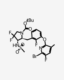 Cc1cc(F)c(Br)nc1Oc1cccc(C[C@H]2[C@@H](NS(C)(=O)=O)C(F)(F)CN2C(=O)OC(C)(C)C)c1F